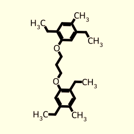 CCc1cc(OCCCOc2cc(CC)c(C)cc2CC)c(CC)cc1C